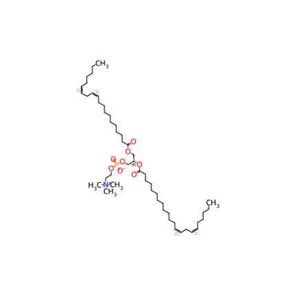 CCCCC/C=C\C/C=C\CCCCCCCCCCCC(=O)O[C@H](COC(=O)CCCCCCCCC/C=C\C/C=C\CCCCC)COP(=O)([O-])OCC[N+](C)(C)C